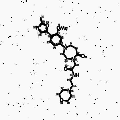 COc1cc(N2CCC(=O)N(CC(=O)NCCN3CCOCC3)CC2)ccc1-c1cnc(C)o1